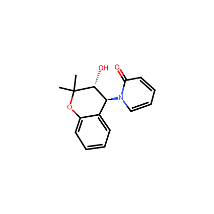 CC1(C)Oc2ccccc2[C@H](n2ccccc2=O)[C@H]1O